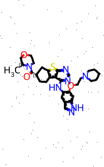 C[C@H]1COCCN1C(=O)[C@H]1CCc2c(sc3ncnc(Nc4cc5cn[nH]c5cc4OCCN4CCCCC4)c23)C1